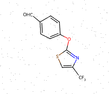 O=Cc1ccc(Oc2nc(C(F)(F)F)cs2)cc1